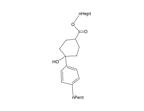 CCCCCCCOC(=O)C1CCC(O)(c2ccc(CCCCC)cc2)CC1